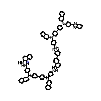 N=C1C=Cc2ccccc2/C1=N/Nc1ccc(N(c2ccc(-c3ccc(N(c4ccc(-n5nc6ccc7cc(-c8ccc9nn(-c%10ccc(N(c%11ccc(-c%12ccc(N(c%13ccc(-n%14nc%15ccccc%15n%14)cc%13)c%13ccc%14ccccc%14c%13)cc%12)cc%11)c%11ccc%12ccccc%12c%11)cc%10)nc9c8)ccc7c6n5)cc4)c4ccc5ccccc5c4)cc3)cc2)c2ccc3ccccc3c2)cc1